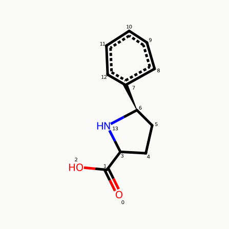 O=C(O)C1CC[C@H](c2ccccc2)N1